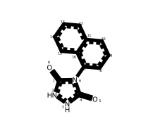 O=c1[nH][nH]c(=O)n1-c1cccc2ccccc12